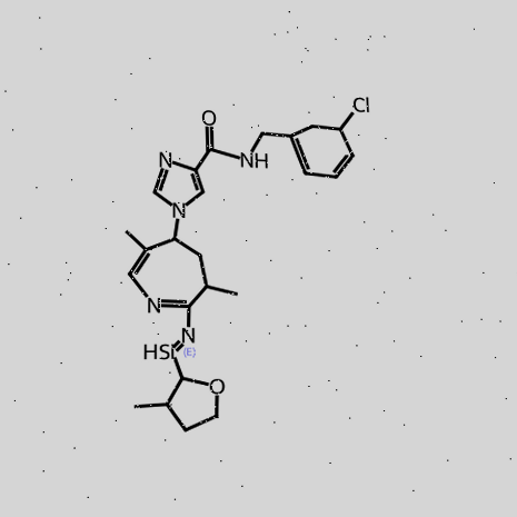 CC1=CN=C(/N=[SiH]/C2OCCC2C)C(C)CC1n1cnc(C(=O)NCC2=CC=CC(Cl)C2)c1